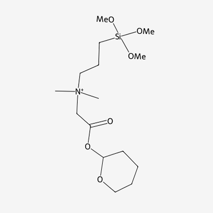 CO[Si](CCC[N+](C)(C)CC(=O)OC1CCCCO1)(OC)OC